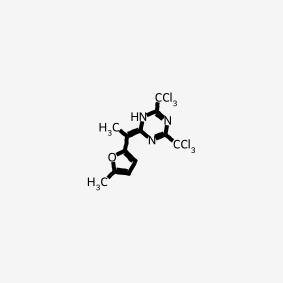 C/C(=C1/N=C(C(Cl)(Cl)Cl)N=C(C(Cl)(Cl)Cl)N1)c1ccc(C)o1